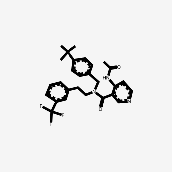 CC(=O)Nc1ccncc1C(=O)N(CCc1cccc(C(F)(F)F)c1)Cc1ccc(C(C)(C)C)cc1